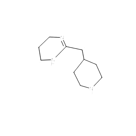 C1CN=C(CC2CCNCC2)NC1